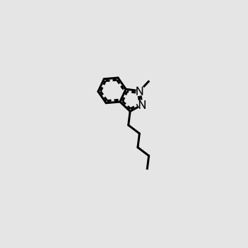 CCCCCc1nn(C)c2ccccc12